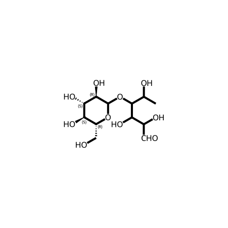 CC(O)C(OC1O[C@H](CO)[C@@H](O)[C@H](O)[C@H]1O)C(O)C(O)C=O